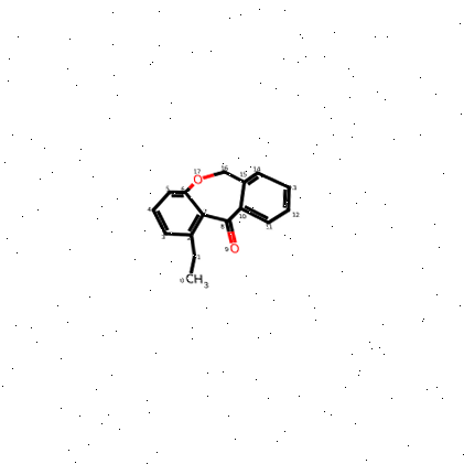 CCc1cccc2c1C(=O)c1ccccc1CO2